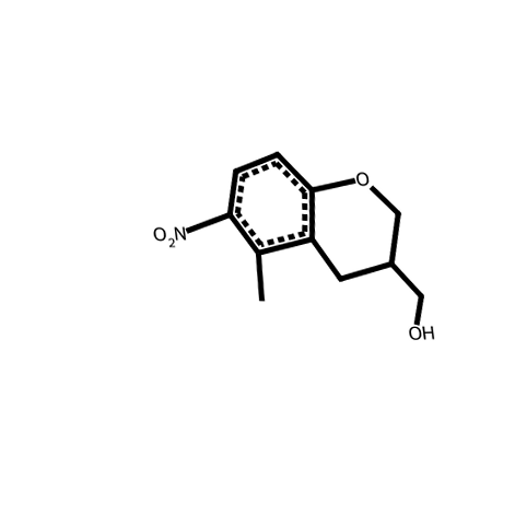 Cc1c([N+](=O)[O-])ccc2c1CC(CO)CO2